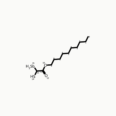 CCCCCCCCCCOC(=O)[CH](S)[SbH2]